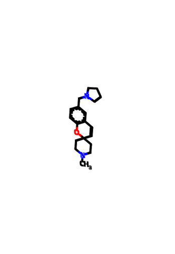 CN1CCC2(C=Cc3cc(CN4CCCC4)ccc3O2)CC1